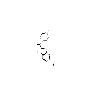 COc1ccc2[nH]c(C(=O)N3CCN(C)CC3)nc2c1